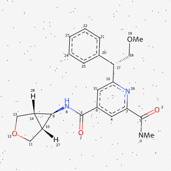 CNC(=O)c1cc(C(=O)N[C@H]2[C@@H]3COC[C@@H]32)cc([C@@H](COC)c2ccccc2)n1